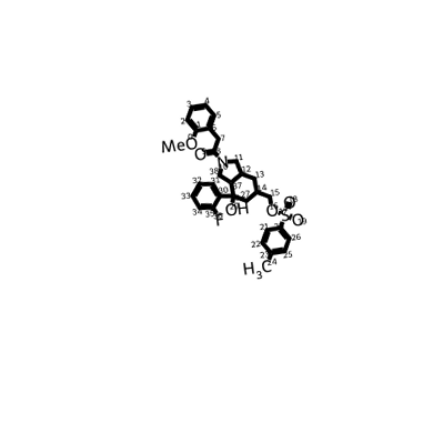 COc1ccccc1CC(=O)N1CC2CC(COS(=O)(=O)c3ccc(C)cc3)CC(O)(c3ccccc3F)C2C1